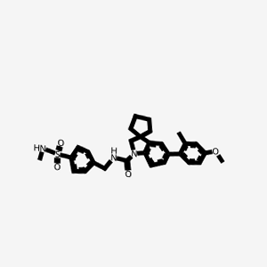 CNS(=O)(=O)c1ccc(CNC(=O)N2CC3(CCCC3)c3cc(-c4ccc(OC)cc4C)ccc32)cc1